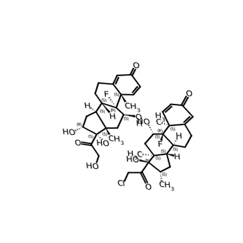 C[C@H]1C[C@H]2[C@@H]3CCC4=CC(=O)C=C[C@]4(C)[C@@]3(F)[C@@H](O)C[C@]2(C)[C@@]1(O)C(=O)CCl.C[C@]12C=CC(=O)C=C1CC[C@H]1[C@@H]3C[C@@H](O)[C@](O)(C(=O)CO)[C@@]3(C)C[C@H](O)[C@@]12F